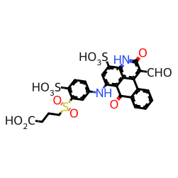 O=Cc1c2c3c(c(Nc4ccc(S(=O)(=O)O)c(S(=O)(=O)CCCC(=O)O)c4)cc(S(=O)(=O)O)c3[nH]c1=O)C(=O)c1ccccc1-2